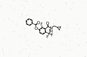 O=C(Oc1ccc(C(F)(F)F)c(C(=O)NCC2CC2)c1F)c1ccccc1